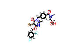 Cc1nc(OCc2ccc(F)cc2F)c(Br)c(=O)n1Cc1ccc(C(=O)N(C)CCO)cc1